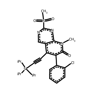 CC(C)[Si](C#Cc1c(-c2ccccc2Cl)c(=O)n(C)c2nc(S(C)(=O)=O)ncc12)(C(C)C)C(C)C